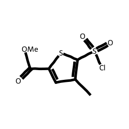 COC(=O)c1cc(C)c(S(=O)(=O)Cl)s1